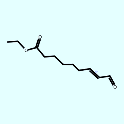 CCOC(=O)CCCCC/C=C/C=O